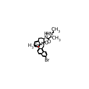 CCN[C@@H](C)C(=O)N[C@H]1CCc2ccccc2N(Cc2c(OC)ccc3cc(Br)ccc23)C1=O